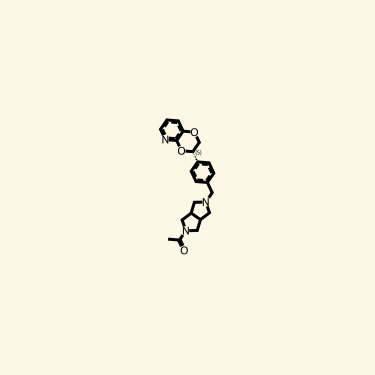 CC(=O)N1CC2CN(Cc3ccc([C@H]4COc5cccnc5O4)cc3)CC2C1